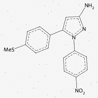 CSc1ccc(-c2cc(N)nn2-c2ccc([N+](=O)[O-])cc2)cc1